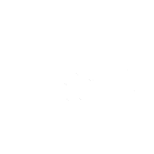 CCCCOc1nc(NC(=O)CCC(C)(C)CC(C)(C)CCC(C)(C)C)c2[nH]c(=O)n(Cc3cccc(CC(=O)OC)c3)c2n1